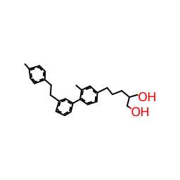 Cc1ccc(CCc2cccc(-c3ccc(CCCC(CO)CO)cc3C)c2)cc1